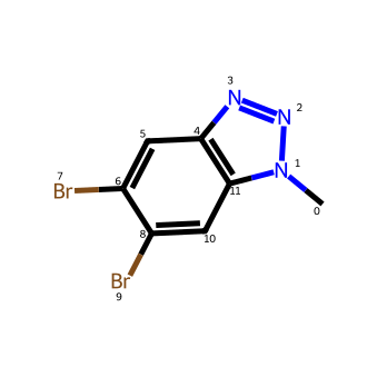 Cn1nnc2cc(Br)c(Br)cc21